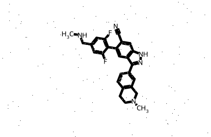 CNCc1cc(F)c(-c2cc3c(-c4ccc5c(c4)CN(C)CC5)n[nH]c3cc2C#N)c(F)c1